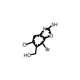 OCc1c(Cl)cc2nc(S)oc2c1Br